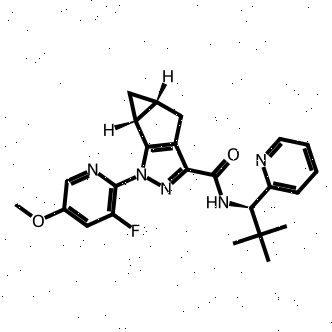 COc1cnc(-n2nc(C(=O)N[C@@H](c3ccccn3)C(C)(C)C)c3c2[C@@H]2C[C@@H]2C3)c(F)c1